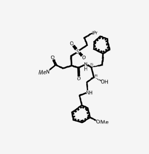 CNC(=O)CC(CS(=O)(=O)CCC(C)C)C(=O)N[C@@H](Cc1ccccc1)[C@H](O)CNCc1cccc(OC)c1